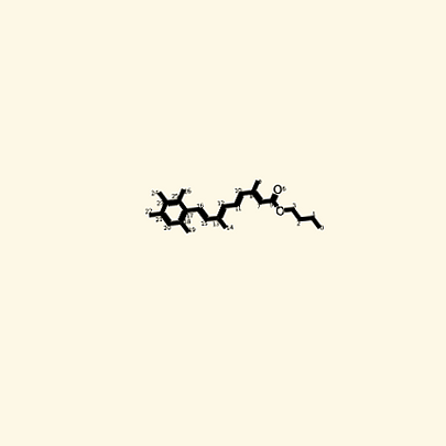 CCCCOC(=O)C=C(C)C=CC=C(C)C=Cc1c(C)cc(C)c(C)c1C